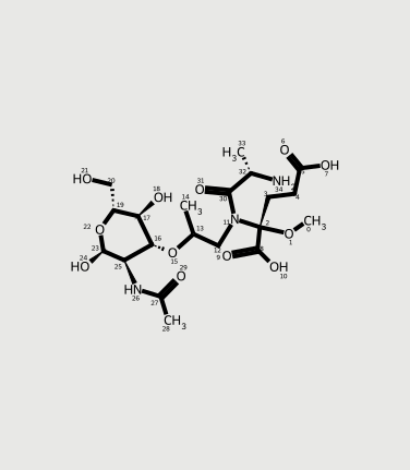 CO[C@](CCC(=O)O)(C(=O)O)N(CC(C)O[C@H]1[C@H](O)[C@@H](CO)O[C@H](O)[C@@H]1NC(C)=O)C(=O)[C@H](C)N